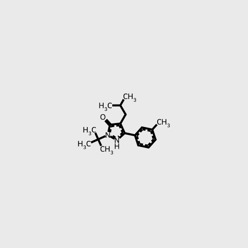 Cc1cccc(-c2[nH]n(C(C)(C)C)c(=O)c2CC(C)C)c1